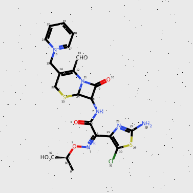 C[C@H](O/N=C(\C(=O)NC1C(=O)N2C(C=O)=C(C[n+]3ccccc3)CSC12)c1nc(N)sc1Cl)C(=O)O